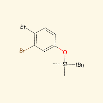 CCc1ccc(O[Si](C)(C)C(C)(C)C)cc1Br